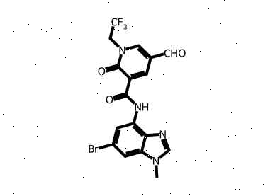 Cn1cnc2c(NC(=O)c3cc(C=O)cn(CC(F)(F)F)c3=O)cc(Br)cc21